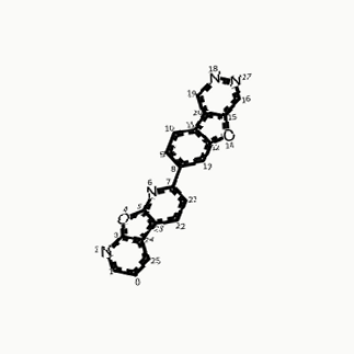 c1cnc2oc3nc(-c4ccc5c(c4)oc4cnncc45)ccc3c2c1